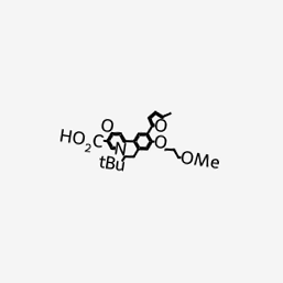 COCCCOc1cc2c(cc1-c1ccc(C)o1)-c1cc(=O)c(C(=O)O)cn1C(C(C)(C)C)C2